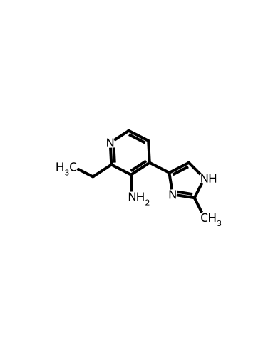 CCc1nccc(-c2c[nH]c(C)n2)c1N